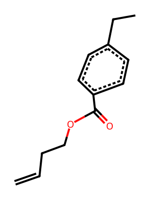 C=CCCOC(=O)c1ccc(CC)cc1